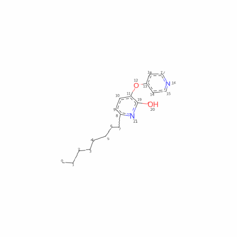 CCCCCCCCc1ccc(Oc2ccncc2)c(O)n1